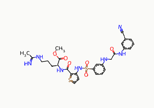 COC(=O)[C@H](CCCNC(C)=N)NC(=O)c1sccc1NS(=O)(=O)c1cccc(NCC(=O)Nc2cccc(C#N)c2)c1